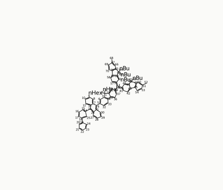 CCCCCCC1(CCCCCC)c2cc(-c3c4ccccc4c(-c4cccc(-c5ccccc5)c4)c4ccccc34)ccc2-c2ccc(N(c3ccc4c(c3)C(CCCC)(CCCC)c3cc(C)ccc3-4)c3ccc4c(c3)C(CCCC)(CCCC)c3cc(C)ccc3-4)cc21